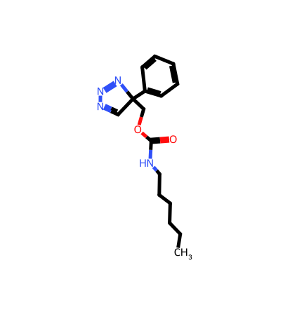 CCCCCCNC(=O)OCC1(c2ccccc2)C=NN=N1